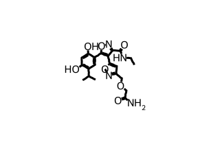 CCNC(=O)c1noc(-c2cc(C(C)C)c(O)cc2O)c1-c1cc(COCC(N)=O)no1